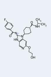 CC(C)NC(=O)[C@H]1CC[C@@H](n2/c(=N/C(=O)c3ccc(F)cc3)[nH]c3cnc(OCCO)cc32)CC1